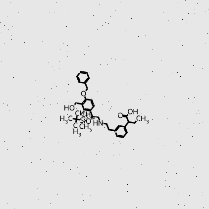 CCC(C(=O)O)c1cccc(CCNC[C@@H](O[Si](C)(C)C(C)(C)C)c2ccc(OCc3ccccc3)c(CO)c2)c1